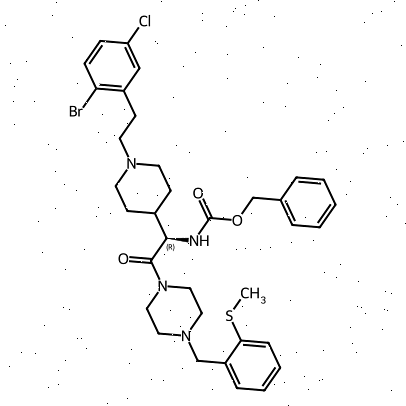 CSc1ccccc1CN1CCN(C(=O)[C@H](NC(=O)OCc2ccccc2)C2CCN(CCc3cc(Cl)ccc3Br)CC2)CC1